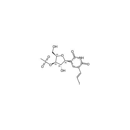 CS(=O)(=O)O[C@@H]1[C@@H](O)[C@H](n2cc(C=CI)c(=O)[nH]c2=O)O[C@@H]1CO